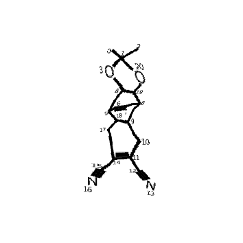 CC1(C)OC2C3C=CC(C4CC(C#N)=C(C#N)CC34)C2O1